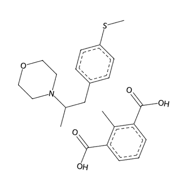 CSc1ccc(CC(C)N2CCOCC2)cc1.Cc1c(C(=O)O)cccc1C(=O)O